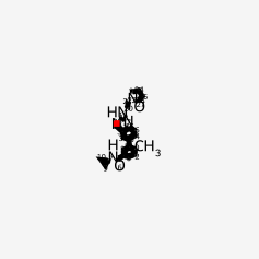 Cc1ccc(C(=O)NC2CC2)cc1-c1ccc2nc(NCCN3CCCC3=O)ncc2c1